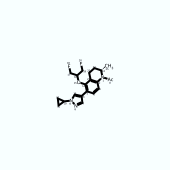 CC(=O)N1c2ccc(-c3cnn(C4CC4)c3)c(OC(CF)CF)c2CC[C@@H]1C